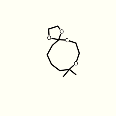 CC1(C)CCCCC2(CCCO1)OCCO2